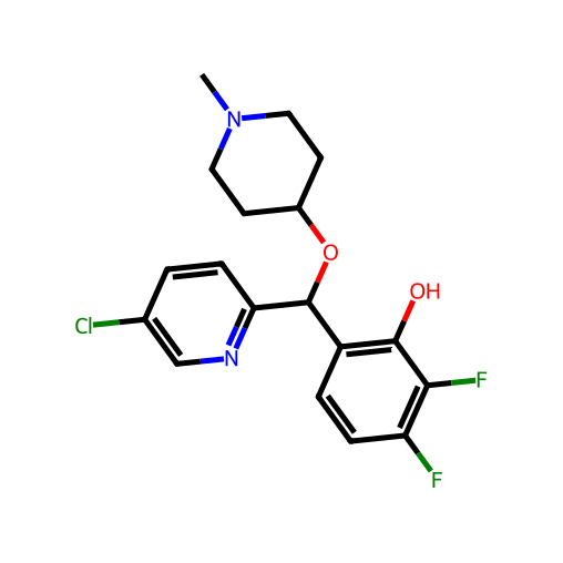 CN1CCC(OC(c2ccc(Cl)cn2)c2ccc(F)c(F)c2O)CC1